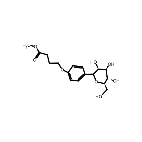 COC(=O)CCCOc1ccc(C2O[C@H](CO)[C@@H](O)[C@H](O)[C@@H]2O)cc1